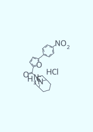 CN1C2CCCC1CN(C(=O)c1ccc(-c3ccc([N+](=O)[O-])cc3)o1)C2.Cl